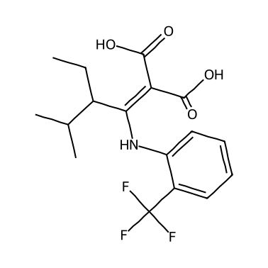 CCC(C(Nc1ccccc1C(F)(F)F)=C(C(=O)O)C(=O)O)C(C)C